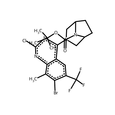 Cc1c(Br)c(C(F)(F)F)cc2c(N3CC4CCC(C3)N4C(=O)OC(C)(C)C)nc(Cl)nc12